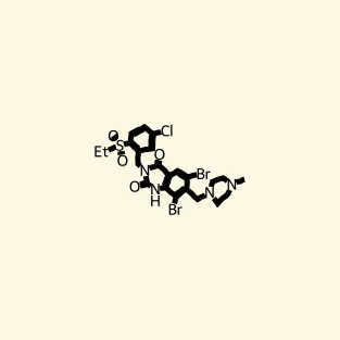 CCS(=O)(=O)c1ccc(Cl)cc1Cn1c(=O)[nH]c2c(Br)c(CN3CCN(C)CC3)c(Br)cc2c1=O